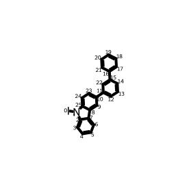 In1c2ccccc2c2cc(-c3cccc(-c4ccccc4)c3)ccc21